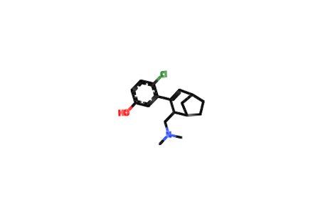 CN(C)CC1C(c2cc(O)ccc2Cl)=CC2CCC1C2